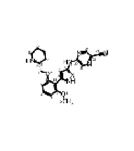 COc1cccc(OC[C@H]2CCCCN2)c1-c1cc(Nc2cnc(C#N)cn2)n[nH]1